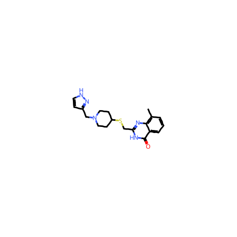 Cc1cccc2c(=O)[nH]c(CSC3CCN(Cc4cc[nH]n4)CC3)nc12